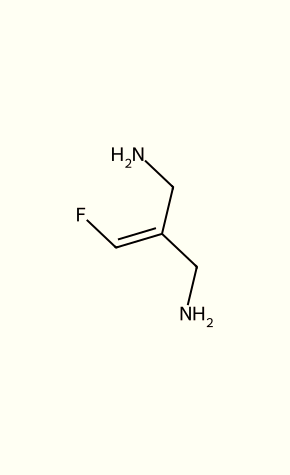 NCC(=CF)CN